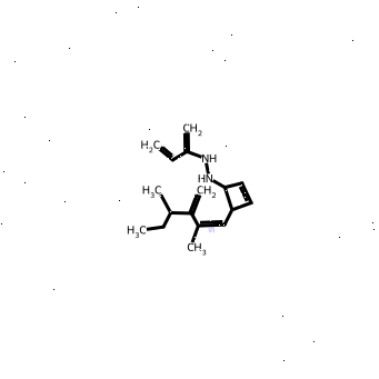 C=CC(=C)NNC1C=CC1/C=C(/C)C(=C)C(C)CC